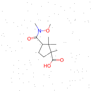 CON(C)C(=O)C1CCC(C)(C(=O)O)C1(C)C